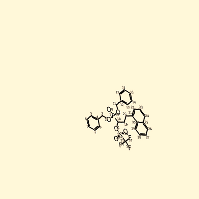 O=P(OCc1ccccc1)(OCc1ccccc1)C(CCc1cccc2ccccc12)OS(=O)(=O)C(F)(F)F